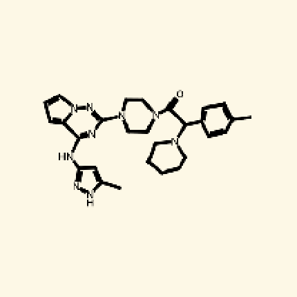 Cc1ccc(C(C(=O)N2CCN(c3nc(Nc4cc(C)[nH]n4)c4cccn4n3)CC2)N2CCCCC2)cc1